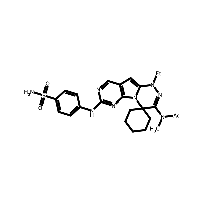 CCN1N=C(N(C)C(C)=O)C2(CCCCC2)n2c1cc1cnc(Nc3ccc(S(N)(=O)=O)cc3)nc12